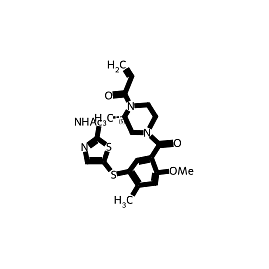 C=CC(=O)N1CCN(C(=O)c2cc(Sc3cnc(NC(C)=O)s3)c(C)cc2OC)C[C@@H]1C